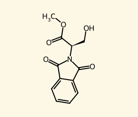 COC(=O)[C@@H](CO)N1C(=O)c2ccccc2C1=O